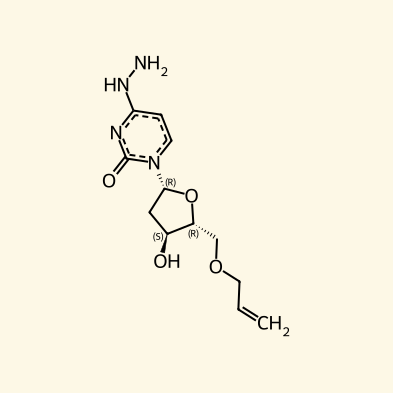 C=CCOC[C@H]1O[C@@H](n2ccc(NN)nc2=O)C[C@@H]1O